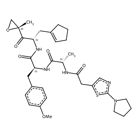 COc1ccc(C[C@H](NC(=O)[C@H](C)NC(=O)Cc2cnc(N3CCCC3)s2)C(=O)N[C@@H](CC2=CCCC2)C(=O)[C@@]2(C)CO2)cc1